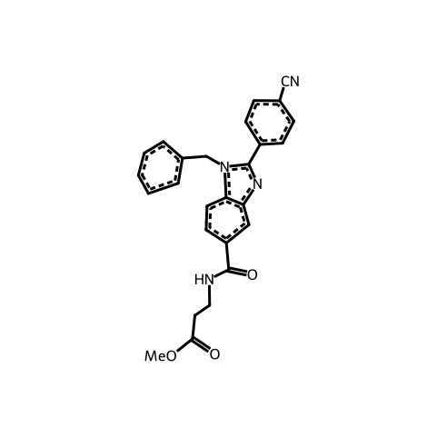 COC(=O)CCNC(=O)c1ccc2c(c1)nc(-c1ccc(C#N)cc1)n2Cc1ccccc1